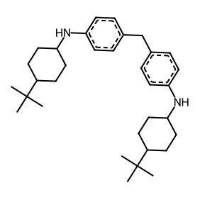 CC(C)(C)C1CCC(Nc2ccc(Cc3ccc(NC4CCC(C(C)(C)C)CC4)cc3)cc2)CC1